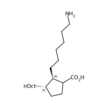 CCCCCCCC[C@H]1CCC(C(=O)O)[C@@H]1CCCCCCN